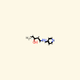 CCC(O)CCNCc1ccncc1